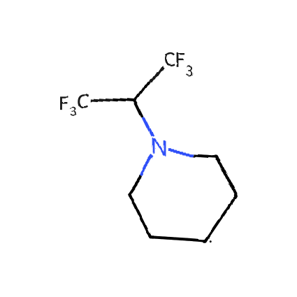 FC(F)(F)C(N1CC[CH]CC1)C(F)(F)F